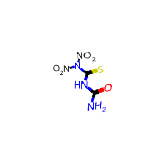 NC(=O)NC(=S)N([N+](=O)[O-])[N+](=O)[O-]